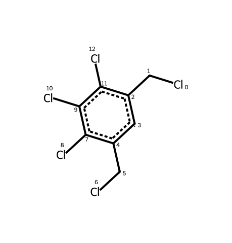 ClCc1[c]c(CCl)c(Cl)c(Cl)c1Cl